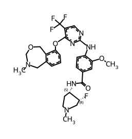 COc1cc(C(=O)N[C@H]2CCN(C)C[C@H]2F)ccc1Nc1ncc(C(F)(F)F)c(Oc2cccc3c2COCN(C)C3)n1